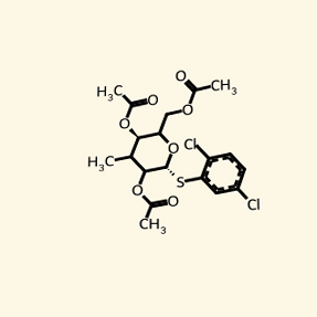 CC(=O)OCC1O[C@H](Sc2cc(Cl)ccc2Cl)C(OC(C)=O)C(C)[C@H]1OC(C)=O